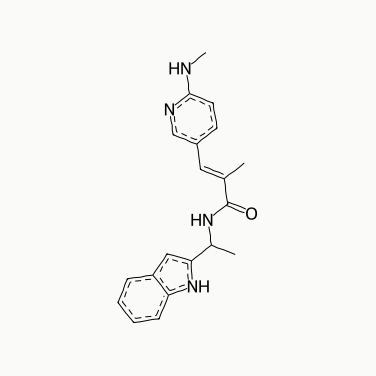 CNc1ccc(C=C(C)C(=O)NC(C)c2cc3ccccc3[nH]2)cn1